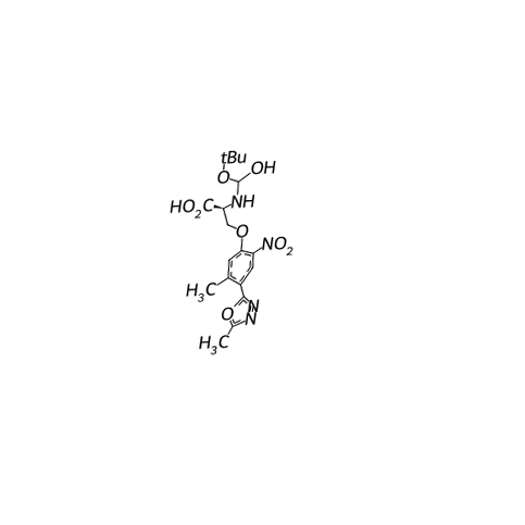 Cc1nnc(-c2cc([N+](=O)[O-])c(OC[C@H](NC(O)OC(C)(C)C)C(=O)O)cc2C)o1